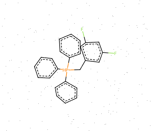 Fc1cc(F)cc(C[PH](c2ccccc2)(c2ccccc2)c2ccccc2)c1